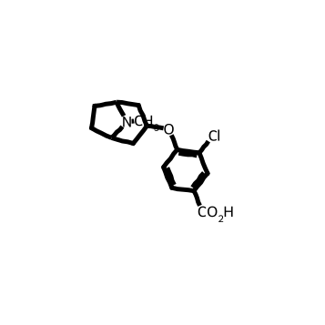 CN1C2CCC1CC(Oc1ccc(C(=O)O)cc1Cl)C2